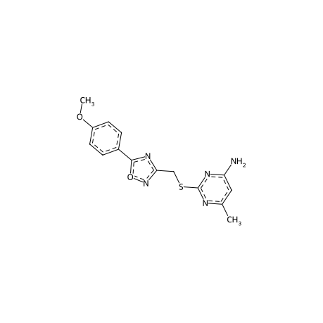 COc1ccc(-c2nc(CSc3nc(C)cc(N)n3)no2)cc1